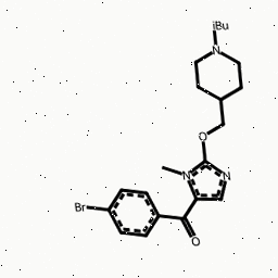 CCC(C)N1CCC(COc2ncc(C(=O)c3ccc(Br)cc3)n2C)CC1